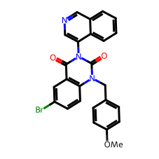 COc1ccc(Cn2c(=O)n(-c3cncc4ccccc34)c(=O)c3cc(Br)ccc32)cc1